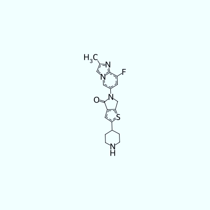 Cc1cn2cc(N3Cc4sc(C5CCNCC5)cc4C3=O)cc(F)c2n1